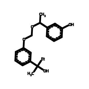 CCC(C)(O)c1cccc(OCOC(C)c2cccc(O)c2)c1